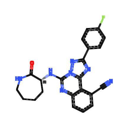 N#Cc1cccc2nc(N[C@@H]3CCCCNC3=O)n3nc(-c4ccc(F)cc4)nc3c12